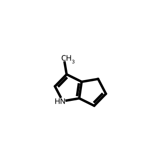 Cc1c[nH]c2c1CC=C2